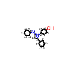 Oc1ccc(N2C(=Nc3ccccc3)CC2c2ccccc2)cc1